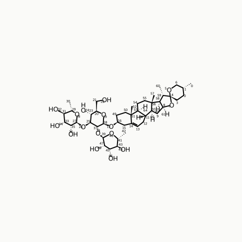 C[C@@H]1CC[C@@]2(OC1)O[C@H]1C[C@H]3[C@@H]4CC=C5C[C@@H](O[C@@H]6O[C@H](CO)[C@@H](O)[C@H](O[C@@H]7O[C@@H](C)[C@H](O)[C@@H](O)[C@H]7O)[C@H]6O[C@H]6O[C@H](C)[C@@H](O)[C@H](O)[C@@H]6O)CC[C@]5(C)[C@H]4CC[C@]3(C)[C@H]1[C@@H]2C